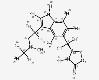 [2H]c1c(C([2H])([2H])[C@H]2COC(=O)N2[2H])c([2H])c2c(C([2H])([2H])CN(C)C([2H])([2H])[2H])c([2H])n([2H])c2c1[2H]